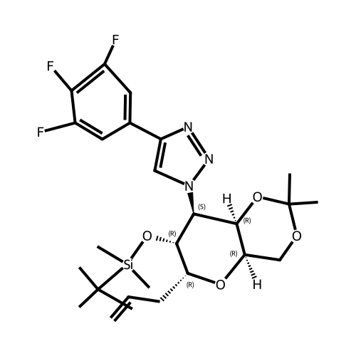 C=CC[C@H]1O[C@@H]2COC(C)(C)O[C@@H]2[C@H](n2cc(-c3cc(F)c(F)c(F)c3)nn2)[C@H]1O[Si](C)(C)C(C)(C)C